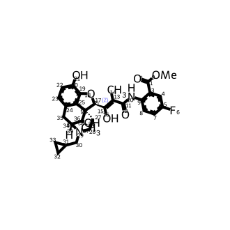 COC(=O)c1cc(F)ccc1NC(=O)/C(C)=C(\O)[C@@H]1Oc2c(O)ccc3c2[C@@]12CCN(CC1CC1)[C@H](C3)[C@@]2(C)O